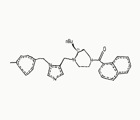 CCCC[C@H]1CN(C(=O)c2cccc3ccccc23)CCN1Cc1cncn1Cc1ccc(C)cc1